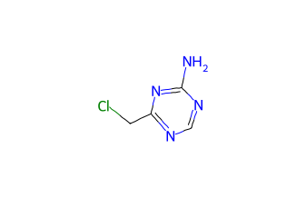 Nc1ncnc(CCl)n1